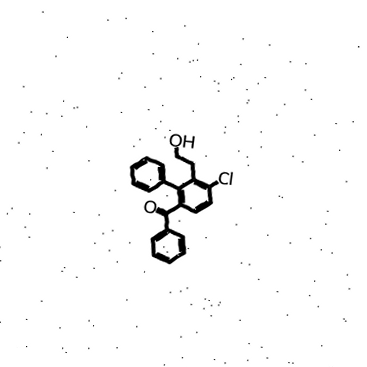 O=C(c1ccccc1)c1ccc(Cl)c(CCO)c1-c1ccccc1